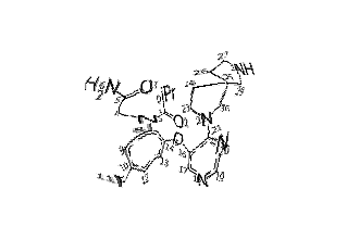 CC(C)C(=O)N(CC(N)=O)c1cc(F)ccc1Oc1cncnc1N1CCC2(CCNC2)C1